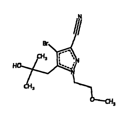 COCCn1nc(C#N)c(Br)c1CC(C)(C)O